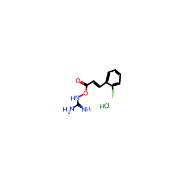 Cl.N=C(N)NOC(=O)/C=C/c1ccccc1F